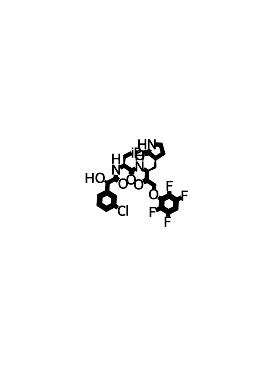 CC(C)C[C@H](NC(=O)[C@H](O)c1cccc(Cl)c1)C(=O)N[C@@H](C[C@@H]1CCNC1=O)C(=O)COc1c(F)c(F)cc(F)c1F